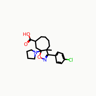 CC12CCCCC(C(=O)O)CC1(N1CCCC1)ON=C2c1ccc(Cl)cc1